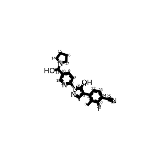 Cc1c(-c2cnn(-c3ccc(C(O)N4CCCC4)cn3)c2O)ccc(C#N)c1F